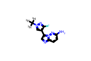 [2H]C([2H])([2H])n1cc(-c2cnc3ccc(N)nn23)c(F)n1